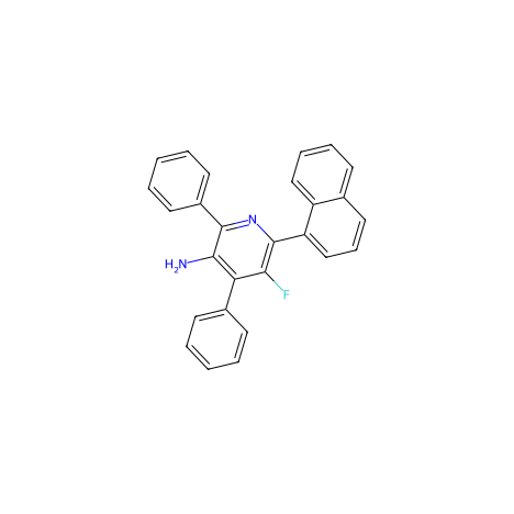 Nc1c(-c2ccccc2)nc(-c2cccc3ccccc23)c(F)c1-c1ccccc1